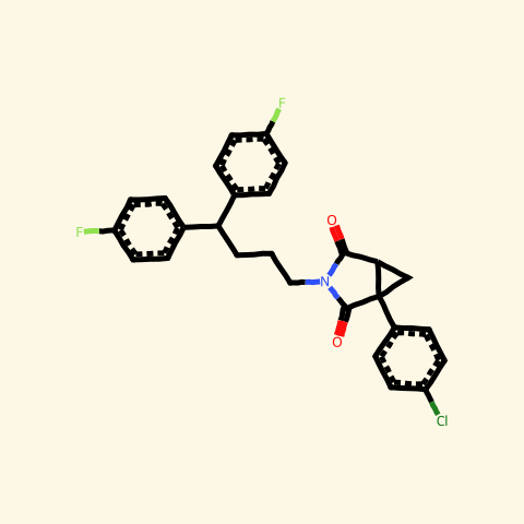 O=C1C2CC2(c2ccc(Cl)cc2)C(=O)N1CCCC(c1ccc(F)cc1)c1ccc(F)cc1